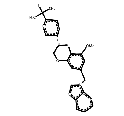 COc1cc(Cn2cnc3cccnc32)cc2c1O[C@@H](c1ccc(C(C)(C)F)nc1)CO2